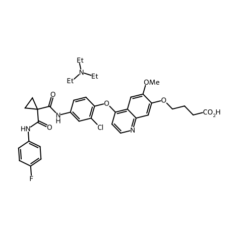 CCN(CC)CC.COc1cc2c(Oc3ccc(NC(=O)C4(C(=O)Nc5ccc(F)cc5)CC4)cc3Cl)ccnc2cc1OCCCC(=O)O